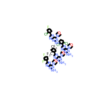 Nc1nc(N2CCOCC2)c2nc(-c3c(Cl)cccc3Cl)cnc2n1.Nc1nc(N2CCOCC2)c2nc(-c3ccc(C(F)(F)F)cc3C(F)(F)F)cnc2n1.Nc1nc(N2CCOCC2)c2nc(-c3ccc(F)cc3Cl)cnc2n1.Nc1nc(N2CCOCC2)c2nc(-c3ccc(F)cc3F)cnc2n1